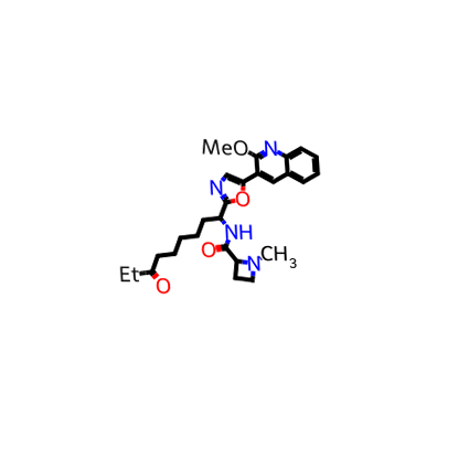 CCC(=O)CCCCCC(NC(=O)C1CCN1C)c1ncc(-c2cc3ccccc3nc2OC)o1